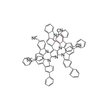 N#Cc1ccc2c(c1)c1cc(C#N)ccc1n2-c1c(-n2c3ccc(-c4ccccc4)cc3c3cc(-c4ccccc4)ccc32)nc(-n2c3ccc(-c4ccccc4)cc3c3cc(-c4ccccc4)ccc32)c(-n2c3ccc(C#N)cc3c3cc(C#N)ccc32)c1-c1ccc2c3ccccc3n(-c3ccccc3)c2c1